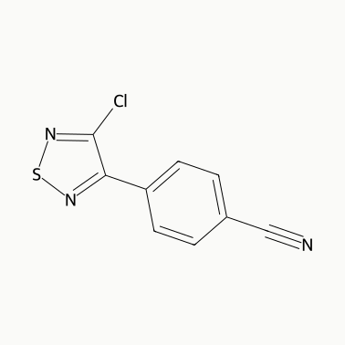 N#Cc1ccc(-c2nsnc2Cl)cc1